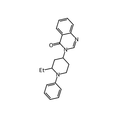 CCC1CC(n2cnc3ccccc3c2=O)CCN1c1ccccc1